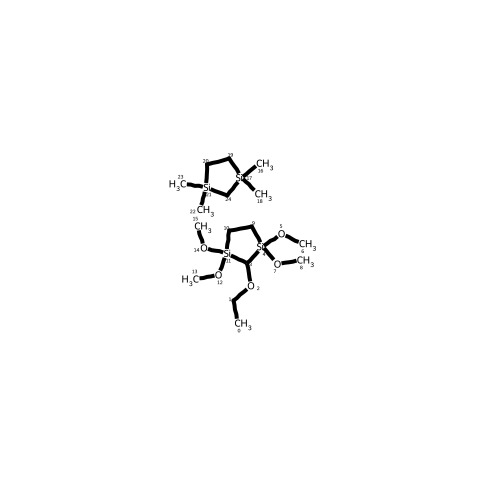 CCOC1[Si](OC)(OC)CC[Si]1(OC)OC.C[Si]1(C)CC[Si](C)(C)C1